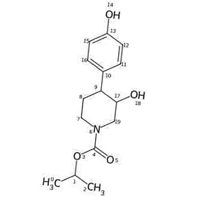 CC(C)OC(=O)N1CCC(c2ccc(O)cc2)C(O)C1